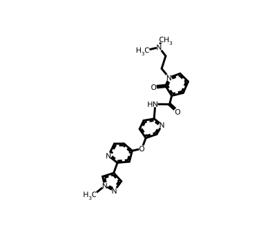 CN(C)CCn1cccc(C(=O)Nc2ccc(Oc3ccnc(-c4cnn(C)c4)c3)cn2)c1=O